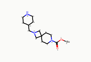 CC(C)(C)OC(=O)N1CCC2(CC1)CN(CC1CCNCC1)C2